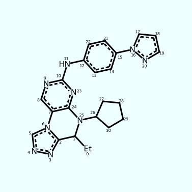 CCC1c2nncn2-c2cnc(Nc3ccc(-n4cccn4)cc3)nc2N1C1CCCC1